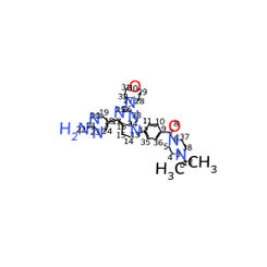 CC(C)N1CCN(C(=O)c2ccc(N3CCc4c(-c5cnc(N)nc5)nc(N5CCOCC5)nc43)cc2)CC1